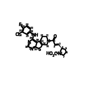 O=C(C=C[C@@H]1CCCN1C(=O)O)N1CCc2c(sc3ncnc(Nc4ccc(F)c(Cl)c4)c23)C1